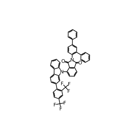 O=C1c2cccc(-n3c4ccccc4c4ccc(-c5ccc(C(F)(F)F)cc5C(F)(F)F)cc43)c2C(=O)N1c1ccc(-c2ccccc2)cc1-c1ccccc1